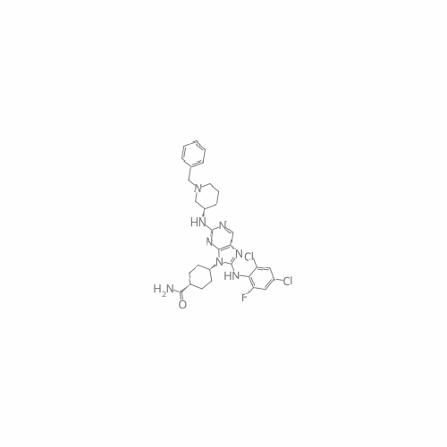 NC(=O)[C@H]1CC[C@@H](n2c(Nc3c(F)cc(Cl)cc3Cl)nc3cnc(N[C@@H]4CCCN(Cc5ccccc5)C4)nc32)CC1